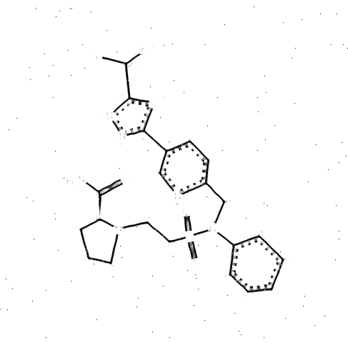 NC(=O)[C@@H]1CCCN1CCS(=O)(=O)N(Cc1ccc(-c2nnc(C(F)F)o2)cn1)c1ccccc1